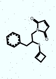 O=C1C=CC(=O)N1CC(Cc1ccccc1)SC1=CCC1